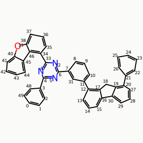 c1ccc(-c2nc(-c3cccc(-c4cccc5c4Cc4c(-c6ccccc6)cccc4-5)c3)nc(-c3cccc4oc5ccccc5c34)n2)cc1